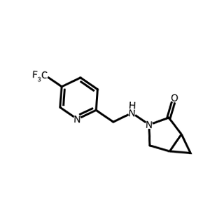 O=C1C2CC2CN1NCc1ccc(C(F)(F)F)cn1